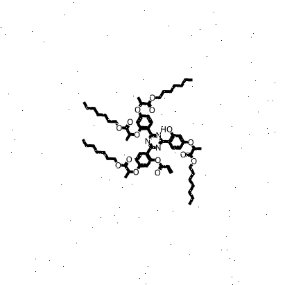 C=CC(=O)Oc1cc(OC(C)C(=O)OCCCCCCC)ccc1-c1nc(-c2ccc(OC(C)C(=O)OCCCCCCC)cc2O)nc(-c2ccc(OC(C)C(=O)OCCCCCCC)cc2OC(C)C(=O)OCCCCCCC)n1